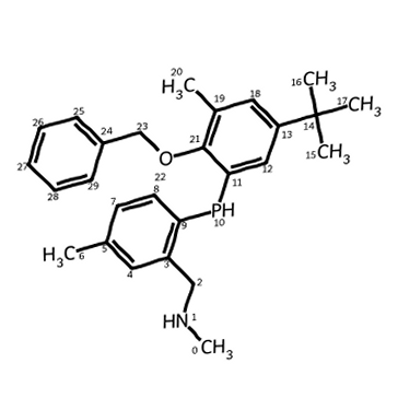 CNCc1cc(C)ccc1Pc1cc(C(C)(C)C)cc(C)c1OCc1ccccc1